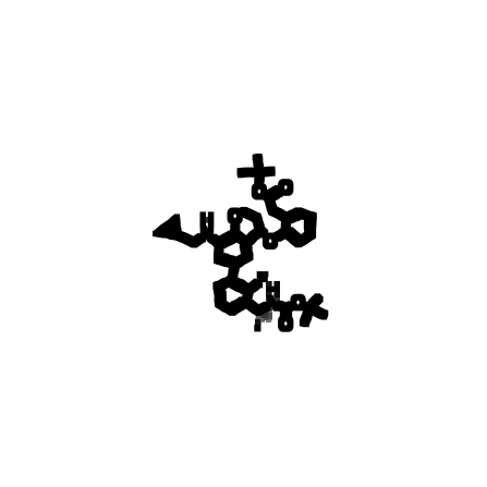 C[C@@H](NC(=O)OC(C)(C)C)c1cccc(-c2cc(NCC3CC3)c3c(c2)C(Oc2ccccc2CC(=O)OC(C)(C)C)CCO3)c1F